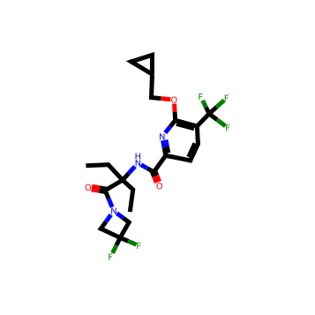 CCC(CC)(NC(=O)c1ccc(C(F)(F)F)c(OCC2CC2)n1)C(=O)N1CC(F)(F)C1